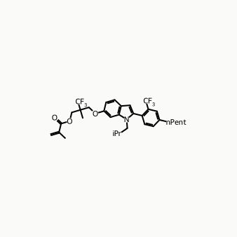 C=C(C)C(=O)OCC(C)(COc1ccc2cc(-c3ccc(CCCCC)cc3C(F)(F)F)n(CC(C)C)c2c1)C(F)(F)F